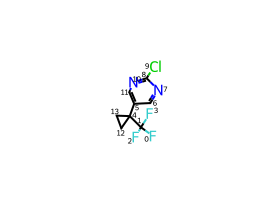 FC(F)(F)C1(c2cnc(Cl)nc2)CC1